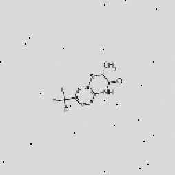 C[C@H]1Sc2cc(C(F)(F)F)ccc2NC1=O